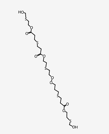 O=C(CCSCCCOOCCSCCOC(=O)CCSCCC(=O)OCCSCO)OCCSCO